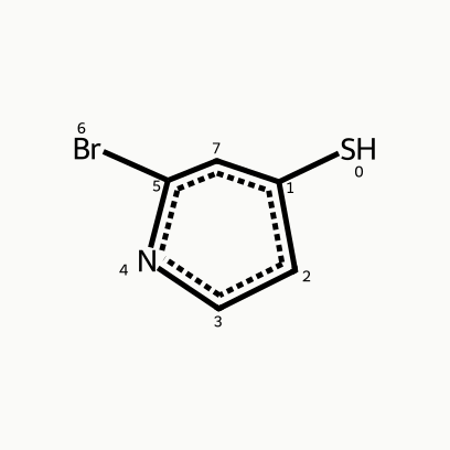 Sc1ccnc(Br)c1